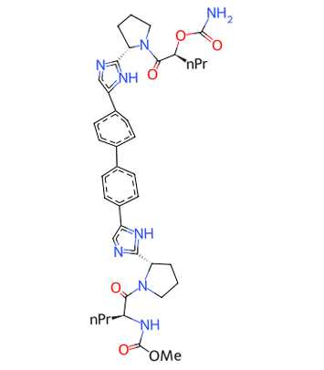 CCC[C@H](NC(=O)OC)C(=O)N1CCC[C@H]1c1ncc(-c2ccc(-c3ccc(-c4cnc([C@@H]5CCCN5C(=O)[C@H](CCC)OC(N)=O)[nH]4)cc3)cc2)[nH]1